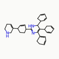 C1=CCCC(C2=C(C3C=CC=CC3)C(C3C=CC=CC3)NC(C3C=CC(C4=CCCNC4)CC3)=N2)=C1